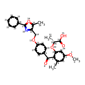 COc1cc(C)c(C(=O)c2ccc(OCc3nc(-c4ccccc4)oc3C)cc2)c(O[C@H](C)C(=O)O)c1